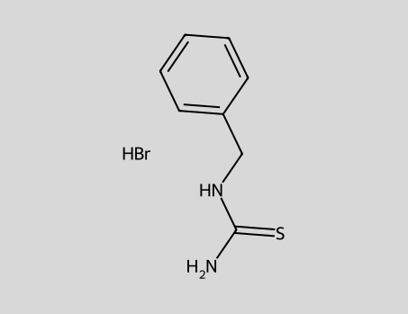 Br.NC(=S)NCc1ccccc1